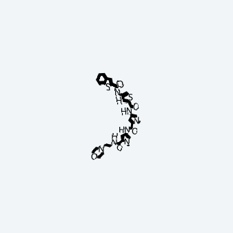 Cn1cc(NC(=O)c2cc(NC(=O)c3cc(NC(=O)c4cc5ccccc5s4)cs3)cn2C)cc1C(=O)NCCN1CCOCC1